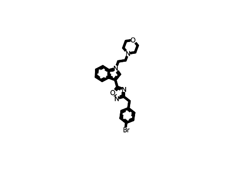 Brc1ccc(Cc2noc(-c3cn(CCN4CCOCC4)c4ccccc34)n2)cc1